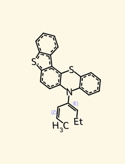 C/C=C\C(=C/CC)N1c2ccccc2Sc2c1ccc1sc3ccccc3c21